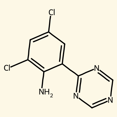 Nc1c(Cl)cc(Cl)cc1-c1ncncn1